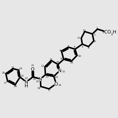 O=C(O)CC1CCC(c2ccc(-c3ccc4c(n3)OCCN4C(=O)Nc3ccccc3)cc2)CC1